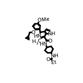 CCC(=O)NC1CCC(NC(=O)C2=C(C)NC(c3cc(OC)ccc3OCC3CC3)c3cc[nH]c32)CC1